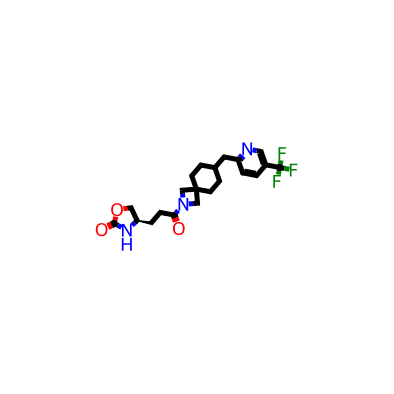 O=C1N[C@H](CCC(=O)N2CC3(CCC(Cc4ccc(C(F)(F)F)cn4)CC3)C2)CO1